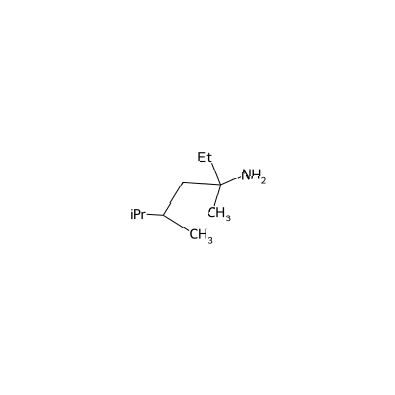 CCC(C)(N)CC(C)C(C)C